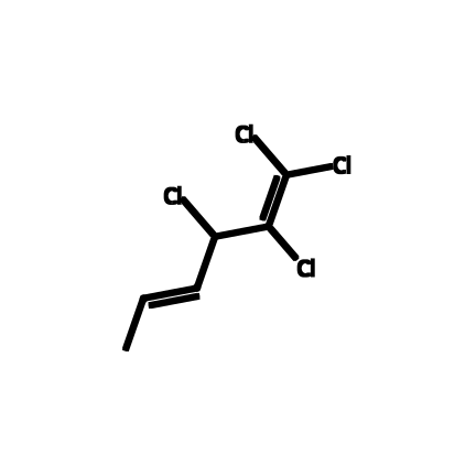 CC=CC(Cl)C(Cl)=C(Cl)Cl